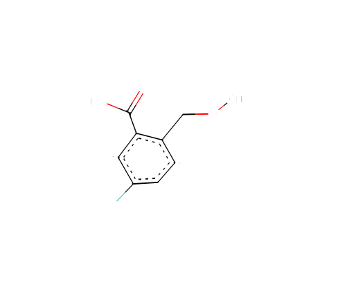 COCc1ccc(F)cc1C(=O)O